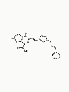 NC(=O)Oc1cc(F)ccc1NC(=O)/C=C/c1cnn(CC=Cc2ccccc2)c1